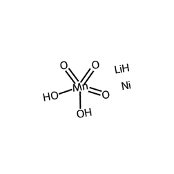 [LiH].[Ni].[O]=[Mn](=[O])(=[O])([OH])[OH]